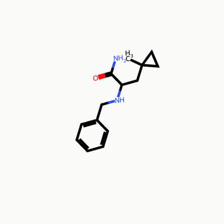 CC1(CC(NCc2ccccc2)C(N)=O)CC1